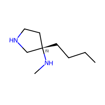 CCCC[C@]1(NC)CCNC1